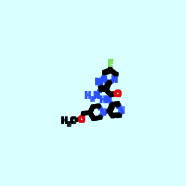 COCC1CCN(c2ccncc2NC(=O)c2c(N)nn3cc(F)cnc23)CC1